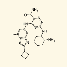 Cc1cc(Nc2nc(N[C@@H]3CCCC[C@@H]3N)nnc2C(N)=O)cc2nn(C3CCC3)cc12